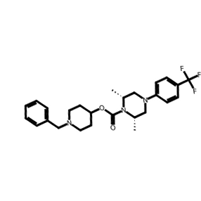 C[C@@H]1CN(c2ccc(C(F)(F)F)cc2)C[C@H](C)N1C(=O)OC1CCN(Cc2ccccc2)CC1